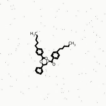 CCCCCc1ccc(C(=O)OCC(OC(=O)c2ccc(CCCCC)cc2)c2ccccc2)cc1